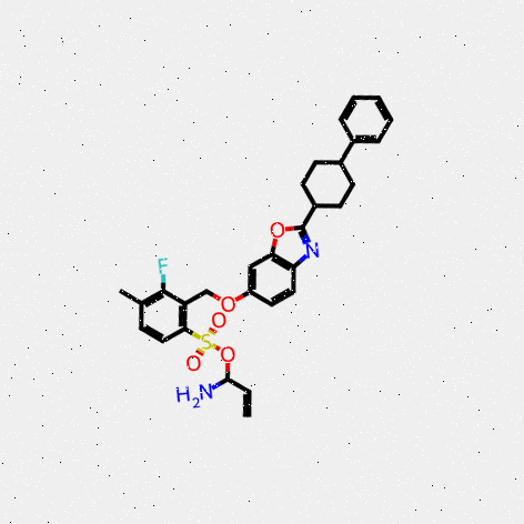 C=CC(N)OS(=O)(=O)c1ccc(C)c(F)c1COc1ccc2nc(C3CCC(c4ccccc4)CC3)oc2c1